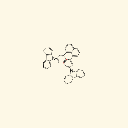 C1=Cc2c(c3ccccc3n2-c2cccc(-c3cccc4cccc(-c5cccc(-n6c7c(c8ccccc86)CCC=C7)c5)c34)c2)CC1